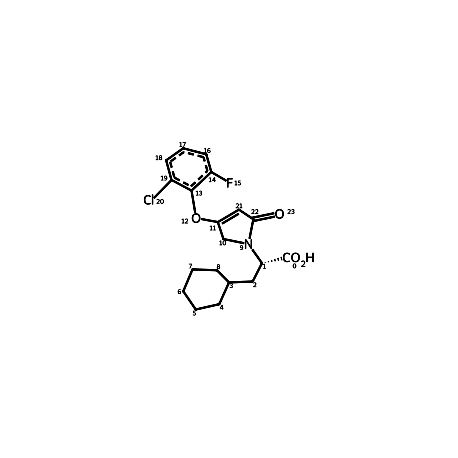 O=C(O)[C@H](CC1CCCCC1)N1CC(Oc2c(F)cccc2Cl)=CC1=O